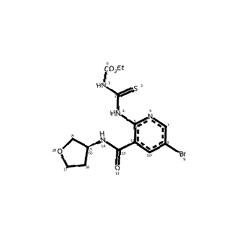 CCOC(=O)NC(=S)Nc1ncc(Br)cc1C(=O)N[C@H]1CCOC1